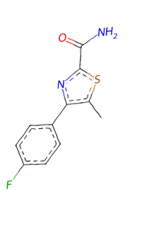 Cc1sc(C(N)=O)nc1-c1ccc(F)cc1